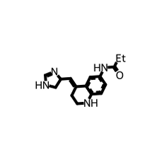 CCC(=O)Nc1ccc2c(c1)/C(=C/C1CNC=N1)CCN2